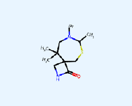 CC(C)N1CC(C)(C)C2(CNC2=O)CSC1C